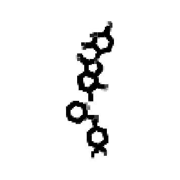 O=C1CCC(N2Cc3c(ccc(C[C@H]4CCCC[C@@H]4NC4CCC(F)(F)CC4)c3F)C2=O)C(=O)N1